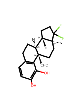 C[C@]12CC[C@]3(C=O)c4c(ccc(O)c4O)CC[C@H]3[C@@H]1CCC2(F)F